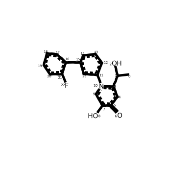 CC(O)c1cc(=O)c(O)cn1-c1cccc(-c2ccccc2F)c1